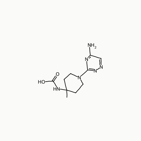 CC1(NC(=O)O)CCN(c2nncc(N)n2)CC1